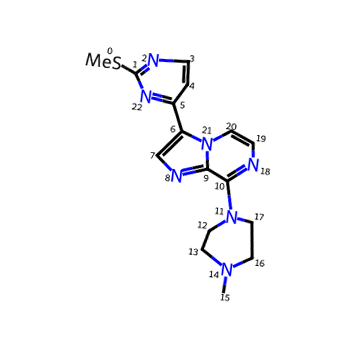 CSc1nccc(-c2cnc3c(N4CCN(C)CC4)nccn23)n1